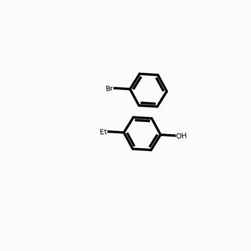 Brc1ccccc1.CCc1ccc(O)cc1